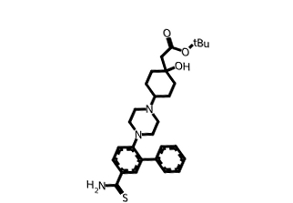 CC(C)(C)OC(=O)CC1(O)CCC(N2CCN(c3ccc(C(N)=S)cc3-c3ccccc3)CC2)CC1